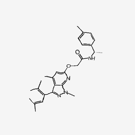 CC(C)=CC(=C(C)C)c1nn(C)c2nc(OCC(=O)N[C@@H](C)c3ccc(C)cc3)cc(C)c12